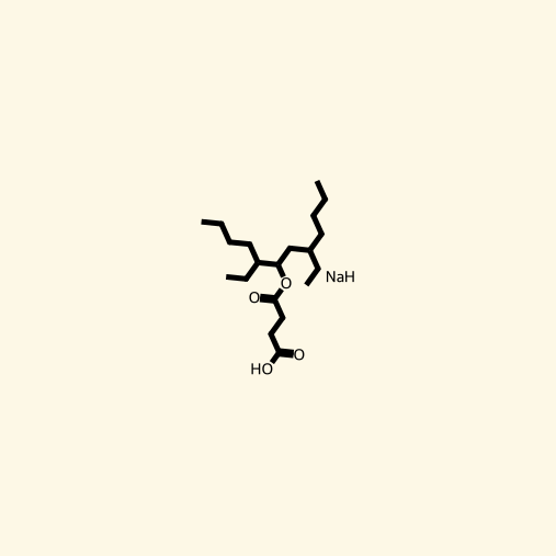 CCCCC(CC)CC(OC(=O)CCC(=O)O)C(CC)CCCC.[NaH]